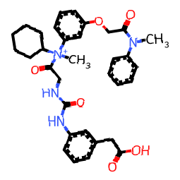 CN(C(=O)COc1cccc([N+](C)(C(=O)CNC(=O)Nc2cccc(CC(=O)O)c2)C2CCCCC2)c1)c1ccccc1